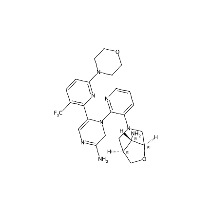 NC1=NC=C(c2nc(N3CCOCC3)ccc2C(F)(F)F)N(c2ncccc2N2C[C@@H]3CO[C@H](C2)[C@H]3N)C1